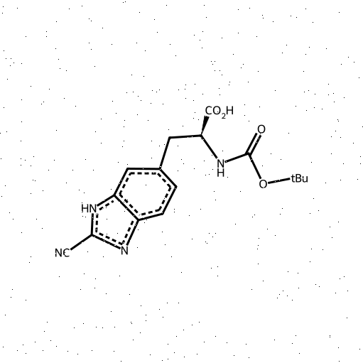 CC(C)(C)OC(=O)N[C@@H](Cc1ccc2nc(C#N)[nH]c2c1)C(=O)O